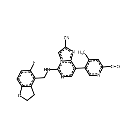 Cc1cc(C=O)ncc1-c1cnc(NCc2c(F)ccc3c2CCO3)n2cc(C#N)nc12